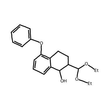 CCOC(OCC)C1CCc2c(Oc3ccccc3)cccc2C1O